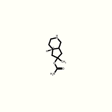 CC1(OC(N)=O)CC2CNCC[C@H]2C1